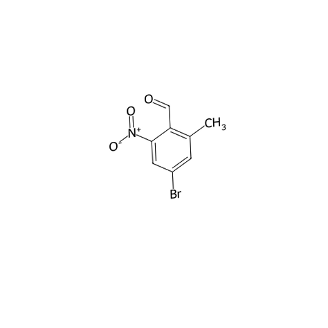 Cc1cc(Br)cc([N+](=O)[O-])c1C=O